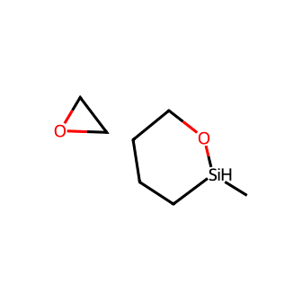 C1CO1.C[SiH]1CCCCO1